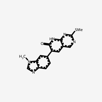 CSc1ncc2cc(-c3ccc4ncn(C)c4c3)c(=O)[nH]c2n1